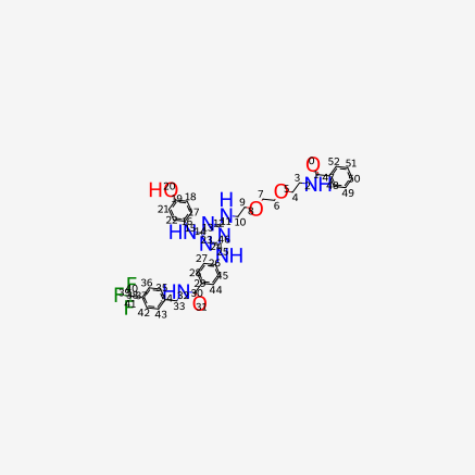 O=C(NCCOCCOCCNc1nc(Nc2ccc(O)cc2)nc(Nc2ccc(C(=O)NCc3ccc(C(F)(F)F)cc3)cc2)n1)c1ccccc1